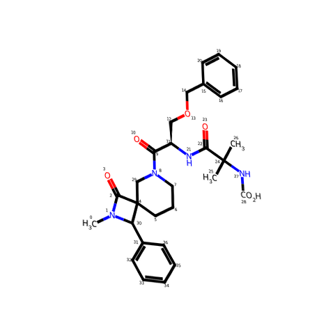 CN1C(=O)C2(CCCN(C(=O)[C@@H](COCc3ccccc3)NC(=O)C(C)(C)NC(=O)O)C2)C1c1ccccc1